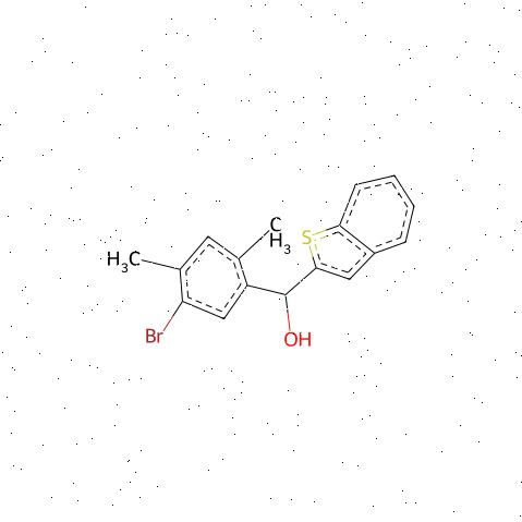 Cc1cc(C)c(C(O)c2cc3ccccc3s2)cc1Br